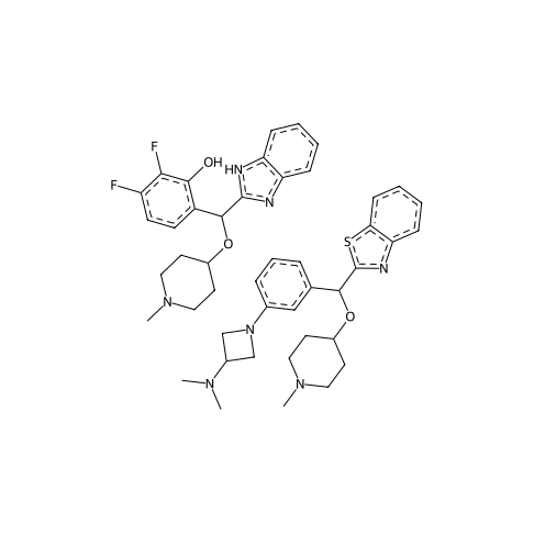 CN1CCC(OC(c2cccc(N3CC(N(C)C)C3)c2)c2nc3ccccc3s2)CC1.CN1CCC(OC(c2nc3ccccc3[nH]2)c2ccc(F)c(F)c2O)CC1